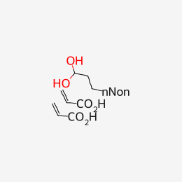 C=CC(=O)O.C=CC(=O)O.CCCCCCCCCCCC(O)O